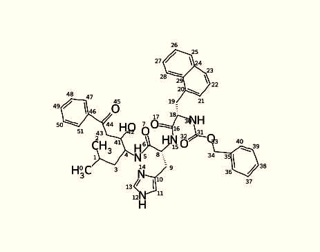 CC(C)CC(NC(=O)[C@@H](Cc1c[nH]cn1)NC(=O)[C@H](Cc1cccc2ccccc12)NC(=O)OCc1ccccc1)C(O)CC(=O)c1ccccc1